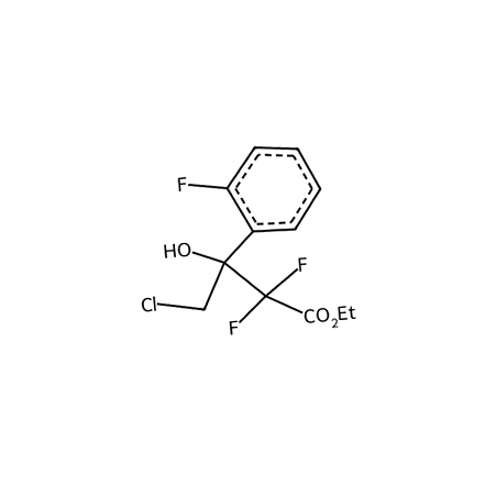 CCOC(=O)C(F)(F)C(O)(CCl)c1ccccc1F